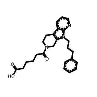 O=C(O)CCCCC(=O)N1CCc2c(n(CCCc3ccccc3)c3ncccc23)C1